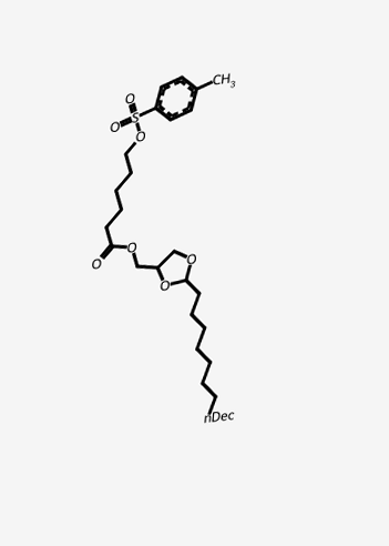 CCCCCCCCCCCCCCCCCC1OCC(COC(=O)CCCCCOS(=O)(=O)c2ccc(C)cc2)O1